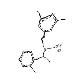 Cc1cc(CN(C(=O)O)C(C)c2ccccc2C)cc(C)n1.Cl